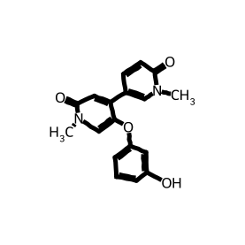 Cn1cc(-c2cc(=O)n(C)cc2Oc2cccc(O)c2)ccc1=O